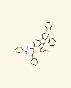 c1ccc(-c2cc(-c3ccc4c(c3)C3(c5ccccc5Sc5ccccc53)c3cc5sc6ccccc6c5cc3-4)nc(-c3ccccc3)n2)cc1